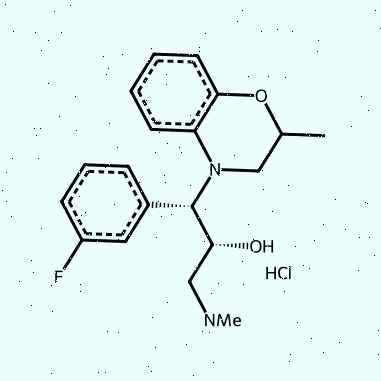 CNC[C@@H](O)[C@H](c1cccc(F)c1)N1CC(C)Oc2ccccc21.Cl